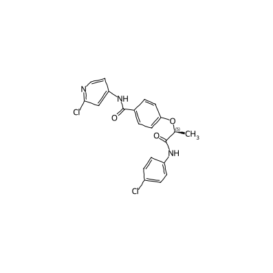 C[C@H](Oc1ccc(C(=O)Nc2ccnc(Cl)c2)cc1)C(=O)Nc1ccc(Cl)cc1